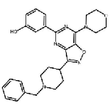 Oc1cccc(-c2nc(N3CCOCC3)c3onc(C4CCN(Cc5ccccc5)CC4)c3n2)c1